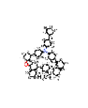 CC1(C)c2ccccc2-c2ccc(-c3cc4c(oc5cccc(-c6ccc(N(c7ccc(-c8ccccc8)cc7)c7ccc(-c8ccccc8)cc7)cc6)c54)c4ccccc34)cc21